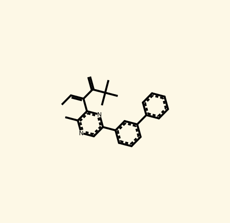 C=C(/C(=C/C)c1nc(-c2cccc(-c3ccccc3)c2)cnc1C)C(C)(C)C